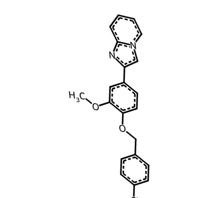 COc1cc(-c2cn3ccccc3n2)ccc1OCc1ccc(C)cc1